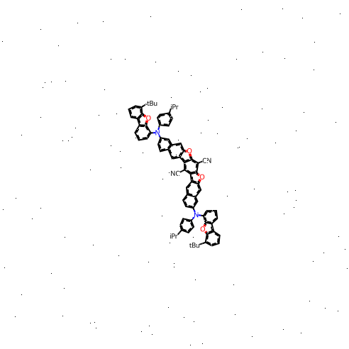 CC(C)c1ccc(N(c2ccc3cc4c(cc3c2)oc2c(C#N)c3oc5cc6cc(N(c7ccc(C(C)C)cc7)c7cccc8c7oc7c(C(C)(C)C)cccc78)ccc6cc5c3c(C#N)c24)c2cccc3c2oc2c(C(C)(C)C)cccc23)cc1